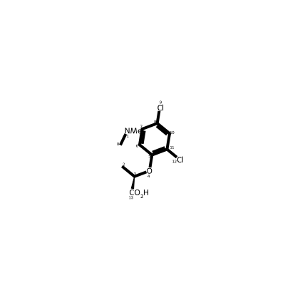 CNC.C[C@@H](Oc1ccc(Cl)cc1Cl)C(=O)O